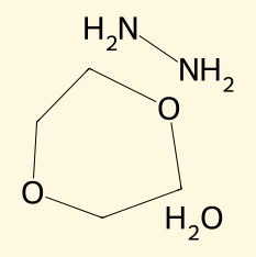 C1COCCO1.NN.O